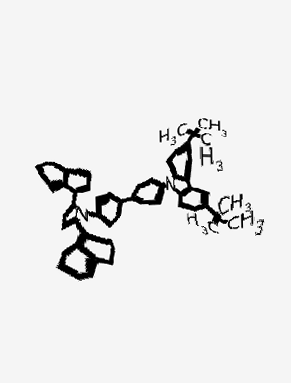 CC(C)(C)c1ccc2c(c1)c1cc(C(C)(C)C)ccc1n2-c1ccc(-c2ccc(-n3c(-c4cccc5ccccc45)ccc3-c3cccc4ccccc34)cc2)cc1